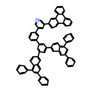 c1ccc(-c2cc(-c3ccccc3)c3ccc(-c4cc(-c5cccc(-c6cncc(-c7ccc8c9ccccc9c9ccccc9c8c7)c6)c5)cc(-c5ccc6c(-c7ccccc7)cc(-c7ccccc7)cc6c5)c4)cc3c2)cc1